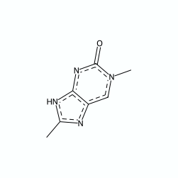 Cc1nc2cn(C)c(=O)nc2[nH]1